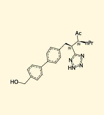 CCC[C@H](C(C)=O)[C@H](Cc1ccc(-c2ccc(CO)cc2)cc1)c1nn[nH]n1